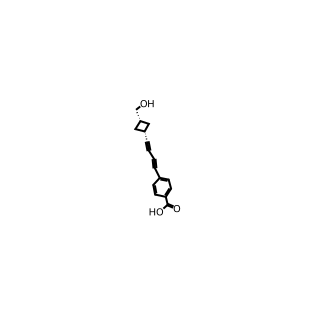 O=C(O)c1ccc(C#CC#C[C@H]2C[C@@H](CO)C2)cc1